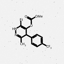 CCC1=C(OC(=O)OC)C(c2ccc(C(F)(F)F)cc2)C(C)=NN1